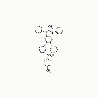 CC1N(c2ccccc2)c2nc(-c3ccccc3)c(-c3ccccc3)nc2N1c1ccccc1.Cc1ccc(S(=O)(=O)O)cc1